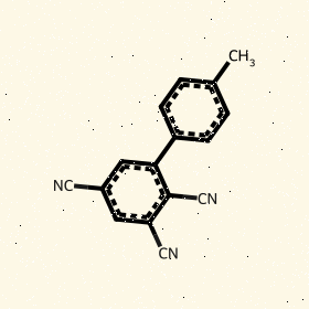 Cc1ccc(-c2cc(C#N)cc(C#N)c2C#N)cc1